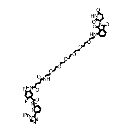 CC(C)n1cnnc1-c1cccc(NC(=O)c2cc(NC(=O)CCC(=O)NCCOCCOCCOCCOCCOCCOCCNc3cccc4c3C(=O)N(C3CCC(=O)NC3=O)C4=O)c(F)cc2F)n1